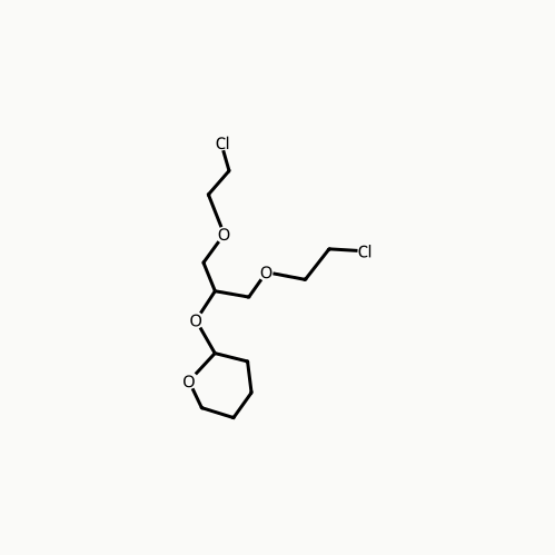 ClCCOCC(COCCCl)OC1CCCCO1